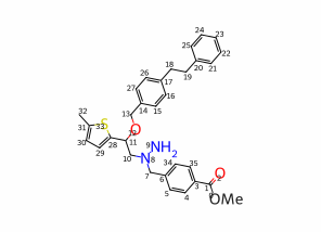 COC(=O)c1ccc(CN(N)CC(OCc2ccc(CCc3ccccc3)cc2)c2ccc(C)s2)cc1